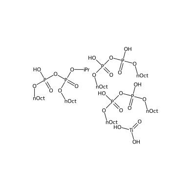 CCCCCCCCOP(=O)(O)OP(=O)(O)OCCCCCCCC.CCCCCCCCOP(=O)(O)OP(=O)(O)OCCCCCCCC.CCCCCCCCOP(=O)(O)OP(=O)(OCCCCCCCC)OC(C)C.[O]=[Ti]([OH])[OH]